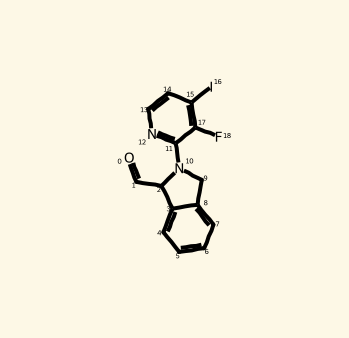 O=CC1c2ccccc2CN1c1nccc(I)c1F